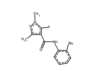 CCC(C)c1ccccc1NC(=O)c1c(C)nn(C)c1F